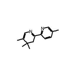 CC1=CN=C(c2ccc(C)cn2)CC1(C)C